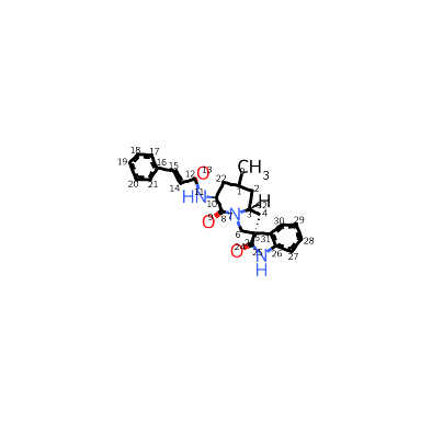 CC1C[C@@H]2C[C@@]3(CN2C(=O)[C@@H](NC(=O)/C=C/c2ccccc2)C1)C(=O)Nc1ccccc13